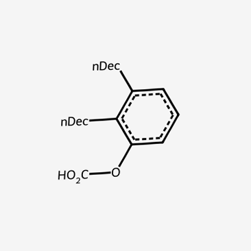 CCCCCCCCCCc1cccc(OC(=O)O)c1CCCCCCCCCC